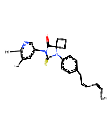 CN/C=C\C=C/Cc1ccc(N2C(=S)N(c3cnc(C#N)c(C(F)(F)F)c3)C(=O)C23CCC3)cc1